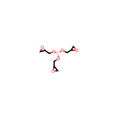 C(OB(OCC1CO1)OCC1CO1)C1CO1